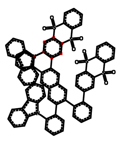 O=S1(=O)c2ccccc2S(=O)(=O)c2cc(-c3ccccc3-c3cc4cc(-c5ccccc5-n5c6ccccc6c6ccccc65)c(-c5ccccc5-c5ccc6c(c5)S(=O)(=O)c5ccccc5S6(=O)=O)cc4cc3-c3ccccc3-n3c4ccccc4c4ccccc43)ccc21